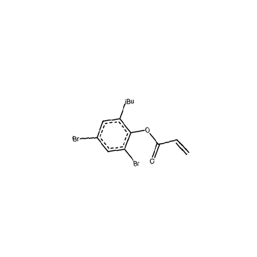 C=CC(=O)Oc1c(Br)cc(Br)cc1C(C)CC